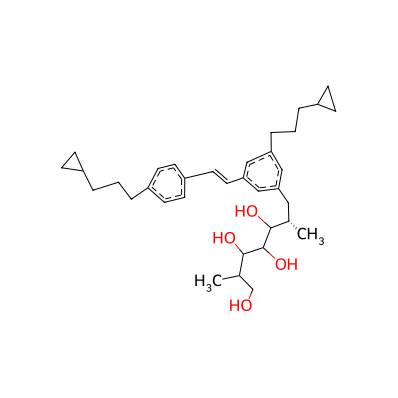 CC(CO)C(O)C(O)C(O)[C@@H](C)Cc1cc(/C=C/c2ccc(CCCC3CC3)cc2)cc(CCCC2CC2)c1